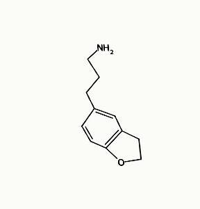 NCCCc1ccc2c(c1)CCO2